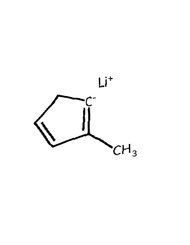 CC1=[C-]CC=C1.[Li+]